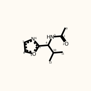 CC(=O)NC(c1ncco1)C(C)C